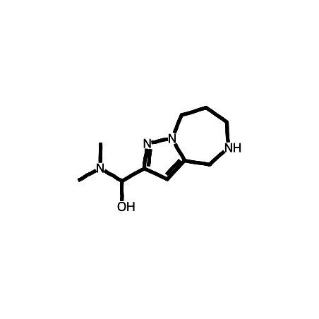 CN(C)C(O)c1cc2n(n1)CCCNC2